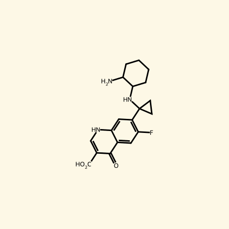 NC1CCCCC1NC1(c2cc3[nH]cc(C(=O)O)c(=O)c3cc2F)CC1